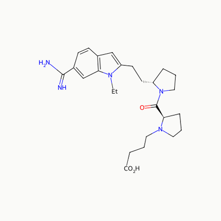 CCn1c(CC[C@@H]2CCCN2C(=O)[C@H]2CCCN2CCCC(=O)O)cc2ccc(C(=N)N)cc21